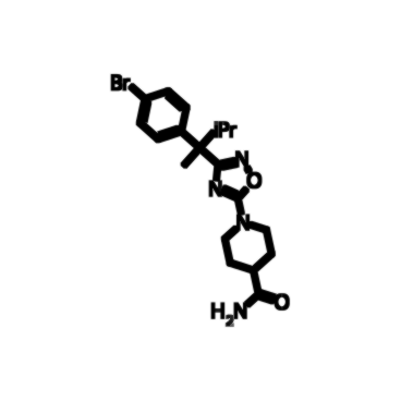 CC(C)C(C)(c1ccc(Br)cc1)c1noc(N2CCC(C(N)=O)CC2)n1